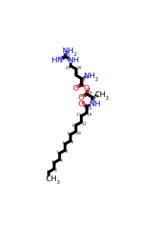 CCCCCCCCCCCCCCCC(=O)N[C@@H](C)C(=O)OC(=O)[C@@H](N)CCCNC(=N)N